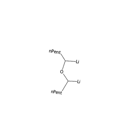 [Li][CH](CCCCC)O[CH]([Li])CCCCC